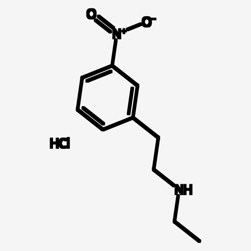 CCNCCc1cccc([N+](=O)[O-])c1.Cl